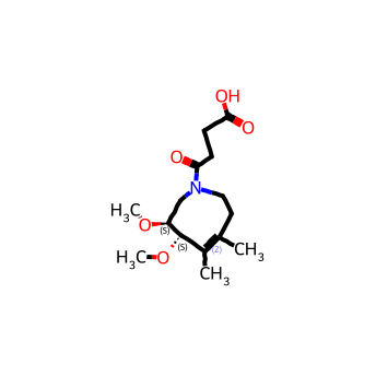 CO[C@H]1CN(C(=O)CCC(=O)O)CC/C(C)=C(/C)[C@@H]1OC